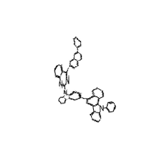 C1=Cc2c(c(-c3ccc4c(c3)c3ccccc3n4-c3nc(-c4ccc5ccc(-c6ccccc6)cc5c4)c4ccccc4n3)cc3c4ccccc4n(-c4ccccc4)c23)CC1